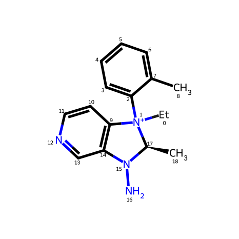 CC[N+]1(c2ccccc2C)c2ccncc2N(N)[C@@H]1C